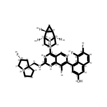 Oc1cc(-c2ncc3c(N4C[C@@H]5N[C@H](C4)C4C[C@H]45)nc(OC[C@@]45CCCN4C[C@H](F)C5)nc3c2F)c2c(F)c(F)ccc2c1